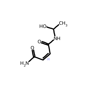 CC(O)NC(=O)/C=C\C(N)=O